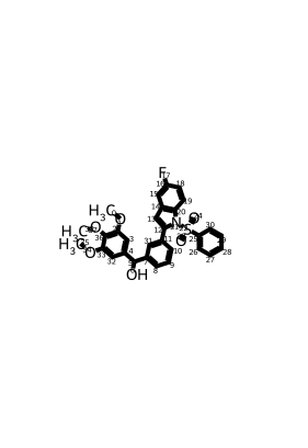 COc1cc(C(O)c2cccc(-c3cc4cc(F)ccc4n3S(=O)(=O)c3ccccc3)c2)cc(OC)c1OC